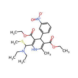 CCOC(=O)C1=C(C)NC(C(SC)N(CC)CC)=C(C(=O)OCC)C1c1cccc([N+](=O)[O-])c1